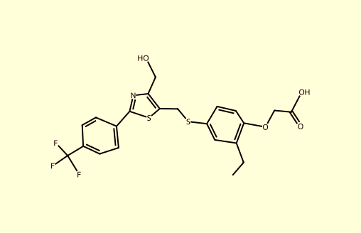 CCc1cc(SCc2sc(-c3ccc(C(F)(F)F)cc3)nc2CO)ccc1OCC(=O)O